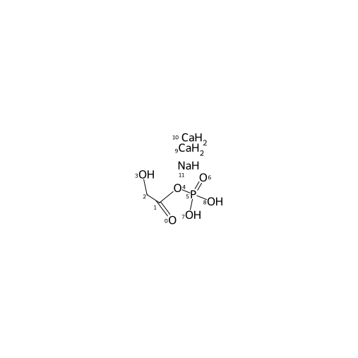 O=C(CO)OP(=O)(O)O.[CaH2].[CaH2].[NaH]